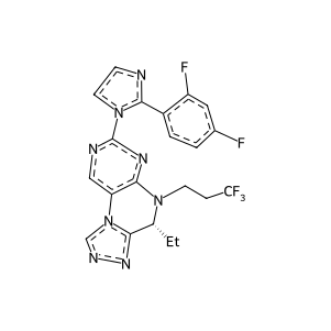 CC[C@@H]1c2nncn2-c2cnc(-n3ccnc3-c3ccc(F)cc3F)nc2N1CCC(F)(F)F